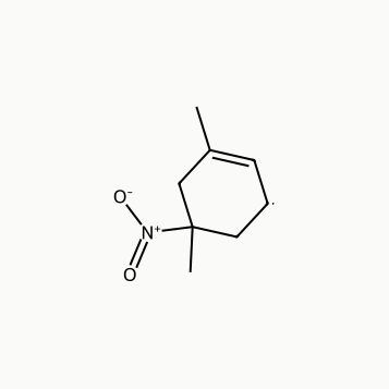 CC1=C[CH]CC(C)([N+](=O)[O-])C1